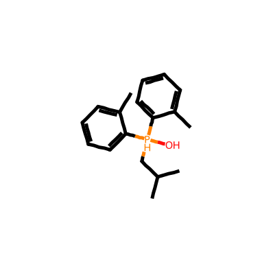 Cc1ccccc1[PH](O)(CC(C)C)c1ccccc1C